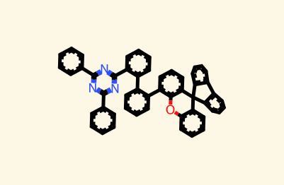 c1ccc(-c2nc(-c3ccccc3)nc(-c3ccccc3-c3ccccc3-c3cccc4c3Oc3ccccc3C43c4ccccc4-c4ccccc43)n2)cc1